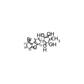 Cc1c(O)c(O)c(-c2ccc3c(c2)oc2cccc(Br)c23)c(O)c1O